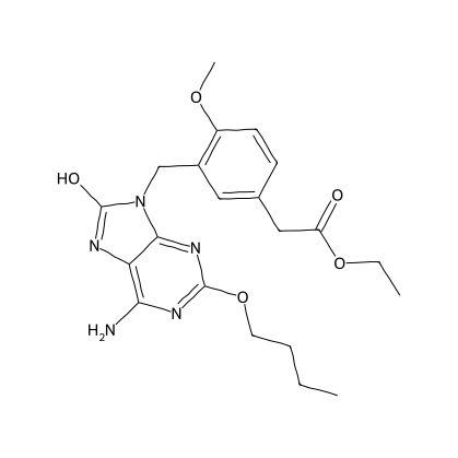 CCCCOc1nc(N)c2nc(O)n(Cc3cc(CC(=O)OCC)ccc3OC)c2n1